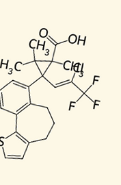 CC1(C)C(C)(C(=O)O)C1(C=C(Cl)C(F)(F)F)c1cccc2c1CCCc1ccsc1-2